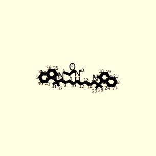 CNC(=O)CCN1\C(=C/C=C/C=C/C=C/C2=Nc3ccc4ccccc4c3C2(C)C)C(C)(C)c2c1ccc1ccccc21